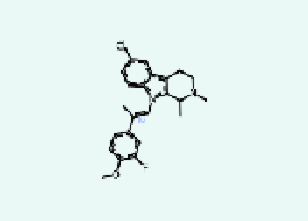 COc1ccc(/C(C)=C/n2c3c(c4cc(Cl)ccc42)CCN(C)C3C)cc1F